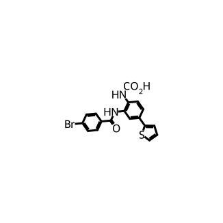 O=C(O)Nc1ccc(-c2cccs2)cc1NC(=O)c1ccc(Br)cc1